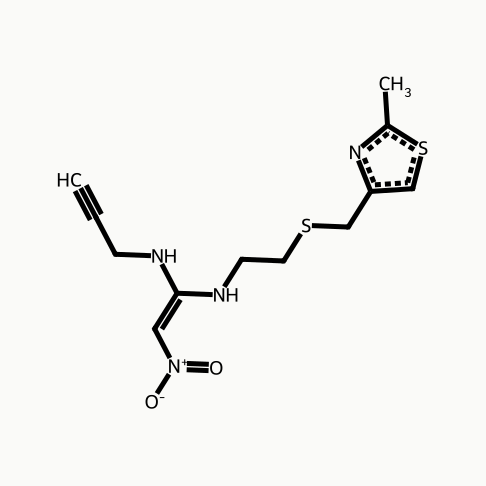 C#CCN/C(=C/[N+](=O)[O-])NCCSCc1csc(C)n1